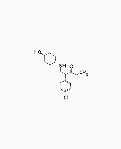 CCC(=O)C(CN[C@H]1CC[C@H](O)CC1)c1ccc(Cl)cc1